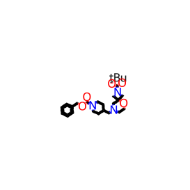 CC(C)(C)OC(=O)N1CC2(CN(CC3CCN(C(=O)OCc4ccccc4)CC3)CCO2)C1